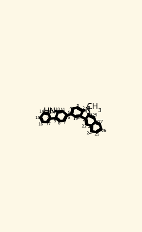 Cn1c2ccc(-c3ccc4c(c3)[nH]c3ccccc34)cc2c2cc3ccccc3cc21